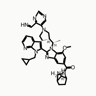 COc1cc(C(=O)N2CC3CCC2[C@@H]3N)cc2nc(-c3cc4cccnc4n3CC3CC3)n([C@@H](C)[C@@H]3CCN(c4cncnc4C=N)C3)c12